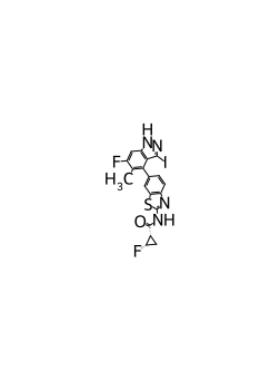 Cc1c(F)cc2[nH]nc(I)c2c1-c1ccc2nc(NC(=O)[C@@H]3C[C@@H]3F)sc2c1